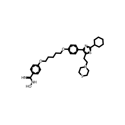 N=C(NO)c1ccc(OCCCCCOc2ccc(-c3nc(C4CCCCC4)sc3CCN3CCSCC3)cc2)cc1